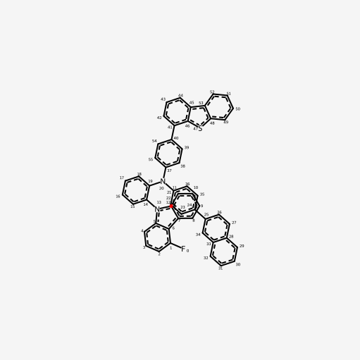 Fc1cccc2c1c1ccccc1n2-c1ccccc1N(c1ccc(-c2ccc3ccccc3c2)cc1)c1ccc(-c2cccc3c2sc2ccccc23)cc1